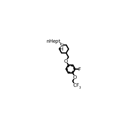 CCCCCCC[SiH]1CCC(COc2ccc(OCC(F)(F)F)c(F)c2)CC1